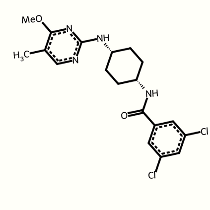 COc1nc(N[C@H]2CC[C@@H](NC(=O)c3cc(Cl)cc(Cl)c3)CC2)ncc1C